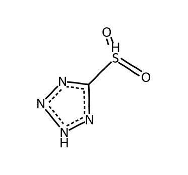 O=[SH](=O)c1nn[nH]n1